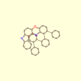 c1ccc(-c2ccccc2-c2ccccc2-c2c(-c3ccccc3)ccc3oc4ccc5nc6ccccc6c5c4nc23)cc1